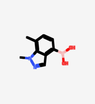 Cc1ccc(B(O)O)c2cnn(C)c12